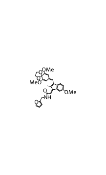 COC1=CC(=CC2=C(C)C(=CC(=O)NCc3ccco3)c3cc(OC)ccc32)C=C(OC)C12OCCO2